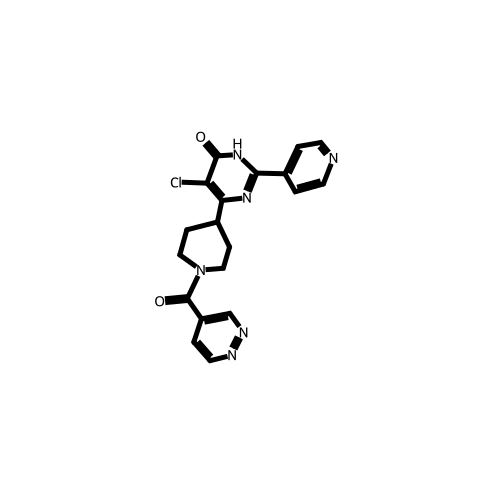 O=C(c1ccnnc1)N1CCC(c2nc(-c3ccncc3)[nH]c(=O)c2Cl)CC1